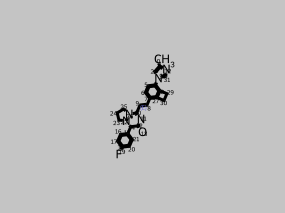 Cc1cn(-c2ccc(/C=C/C3=NC(=O)C(c4ccc(F)cc4)N4CCCN34)c3c2CC3)cn1